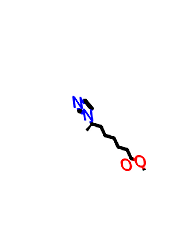 COC(=O)CCCCC[C@@H](C)n1ccnc1